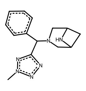 Cn1nnc(C(c2ccccc2)N2CC3CC(C2)N3)n1